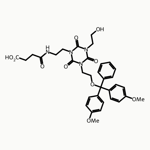 COc1ccc(C(OCCn2c(=O)n(CCO)c(=O)n(CCNC(=O)CCC(=O)O)c2=O)(c2ccccc2)c2ccc(OC)cc2)cc1